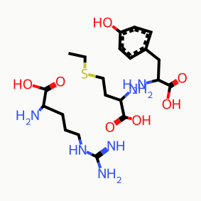 CCSCCC(N)C(=O)O.N=C(N)NCCCC(N)C(=O)O.NC(Cc1ccc(O)cc1)C(=O)O